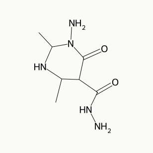 CC1NC(C)N(N)C(=O)C1C(=O)NN